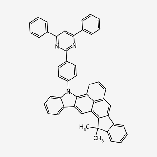 CC1(C)c2ccccc2-c2cc3c4c(c5c(cc4c21)c1ccccc1n5-c1ccc(-c2nc(-c4ccccc4)cc(-c4ccccc4)n2)cc1)CC=C3